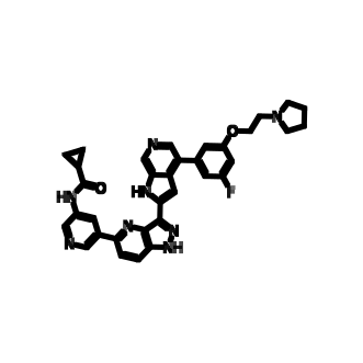 O=C(Nc1cncc(-c2ccc3[nH]nc(-c4cc5c(-c6cc(F)cc(OCCN7CCCC7)c6)cncc5[nH]4)c3n2)c1)C1CC1